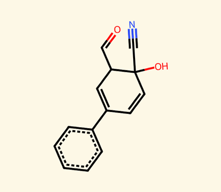 N#CC1(O)C=CC(c2ccccc2)=CC1C=O